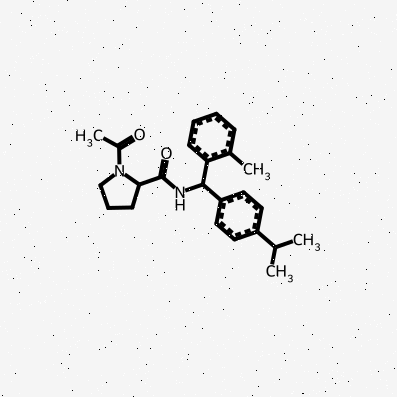 CC(=O)N1CCCC1C(=O)NC(c1ccc(C(C)C)cc1)c1ccccc1C